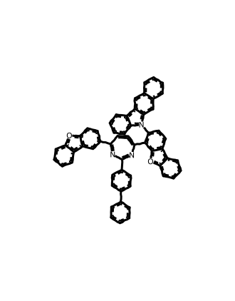 C1=CC(c2ccc3oc4ccccc4c3c2)=NC(c2ccc(-c3ccccc3)cc2)=NC=1c1c(-n2c3ccccc3c3cc4ccccc4cc32)ccc2c1oc1ccccc12